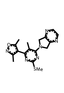 CSc1nc(-c2c(C)noc2C)c(C)c(N2Cc3nccnc3C2)n1